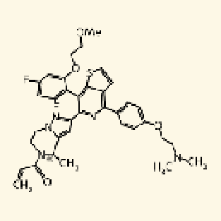 C=CC(=O)N1CCn2nc(-c3nc(-c4ccc(OCCN(C)C)cc4)c4ccsc4c3-c3c(F)cc(F)cc3OCCOC)cc2[C@H]1C